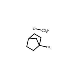 CC12CCC(CC1)C2.O=C(O)Cl